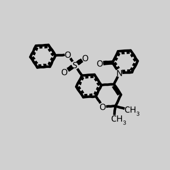 CC1(C)C=C(n2ccccc2=O)c2cc(S(=O)(=O)Oc3ccccc3)ccc2O1